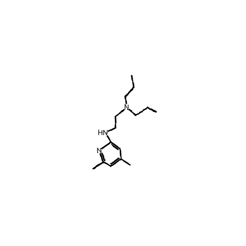 CCCN(CCC)CCNc1cc(C)cc(C)n1